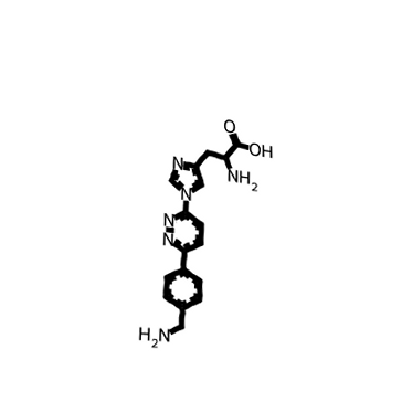 NCc1ccc(-c2ccc(-n3cnc(CC(N)C(=O)O)c3)nn2)cc1